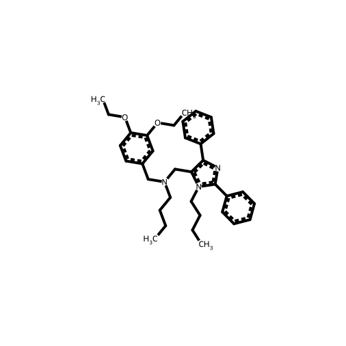 CCCCN(Cc1ccc(OCC)c(OCC)c1)Cc1c(-c2ccccc2)nc(-c2ccccc2)n1CCCC